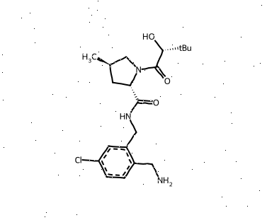 C[C@@H]1C[C@@H](C(=O)NCc2cc(Cl)ccc2CN)N(C(=O)[C@H](O)C(C)(C)C)C1